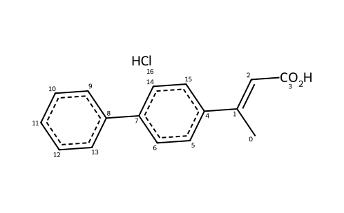 CC(=CC(=O)O)c1ccc(-c2ccccc2)cc1.Cl